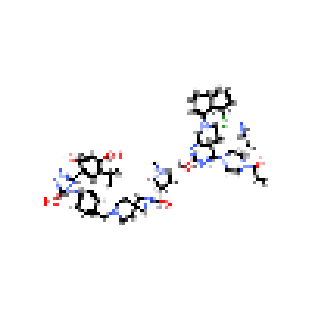 C=CC(=O)N1CCN(c2nc(OC[C@@H]3C[C@H](C(=O)N4CC5(CCN(Cc6ccc(-n7c(O)nnc7-c7cc(C(C)C)c(O)cc7O)cc6)CC5)C4)CN3C)nc3c2CCN(c2cccc4cccc(Cl)c24)C3)C[C@@H]1CC#N